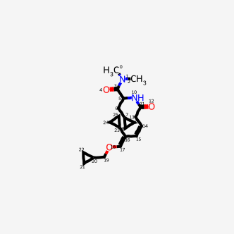 CN(C)C(=O)C(CC1CC1)NC(=O)C/C=C\C(=C\OCC1CC1)C1CC1